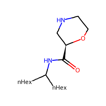 CCCCCCC(CCCCCC)NC(=O)[C@H]1CNCCO1